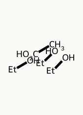 CC(=O)O.CCO.CCO.CCO